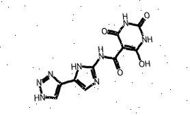 O=C(Nc1ncc(-c2c[nH]nn2)[nH]1)c1c(O)[nH]c(=O)[nH]c1=O